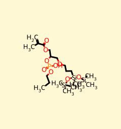 C=C(C)C(=O)OCC(COCCC[Si](C)(O[Si](C)(C)C)O[Si](C)(C)C)OP(=O)(O)OCCC